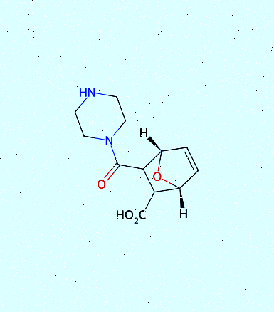 O=C(O)C1C(C(=O)N2CCNCC2)[C@@H]2C=C[C@H]1O2